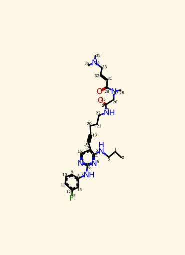 CCCNc1nc(Nc2cccc(F)c2)ncc1C#CCCCNC(=O)CN(C)C(=O)/C=C/CN(C)C